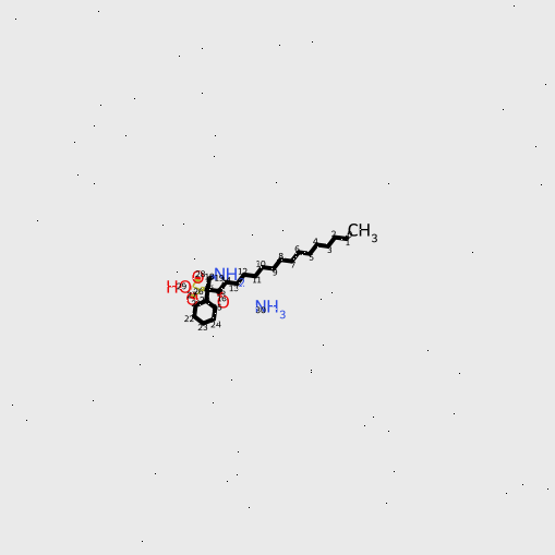 CCCCCCCCCCCCCCCC(=O)C(CN)(C1CCCCC1)S(=O)(=O)O.N